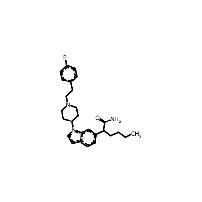 CCCCC(C(N)=O)c1ccc2ccn(C3CCN(CCc4ccc(F)cc4)CC3)c2c1